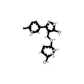 CCc1onc(-c2ccc(C)nc2)c1COc1ccc(Cl)nn1